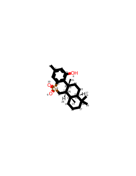 Cc1cc(O)c2c(c1)S(=O)(=O)C[C@@H]1[C@@]3(C)CCCC(C)(C)[C@@H]3CC[C@@]21C